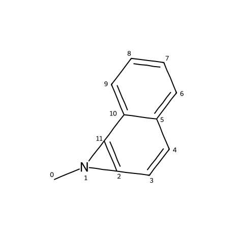 CN1c2ccc3ccccc3c21